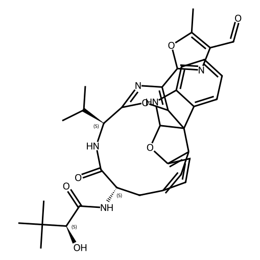 Cc1oc(-c2nc3oc2C24c5ccccc5NC2Oc2ccc(cc24)C[C@H](NC(=O)[C@@H](O)C(C)(C)C)C(=O)N[C@H]3C(C)C)nc1C=O